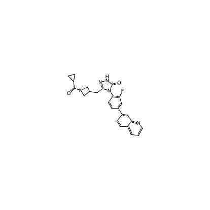 O=C(C1CC1)N1CC(Cc2n[nH]c(=O)n2-c2ccc(-c3ccc4cccnc4c3)cc2F)C1